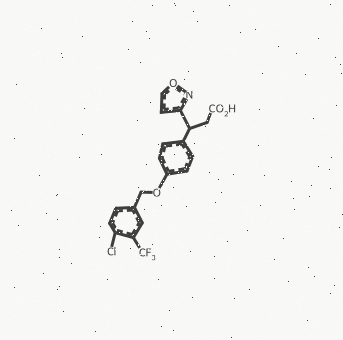 O=C(O)CC(c1ccc(OCc2ccc(Cl)c(C(F)(F)F)c2)cc1)c1ccon1